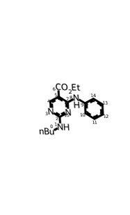 CCCCNc1ncc(C(=O)OCC)c(Nc2ccccc2)n1